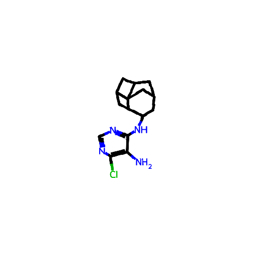 Nc1c(Cl)ncnc1NC12CC3CC4CC(C1)C4(C3)C2